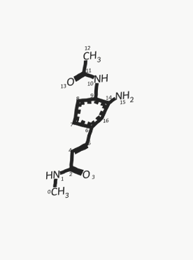 CNC(=O)/C=C/c1ccc(NC(C)=O)c(N)c1